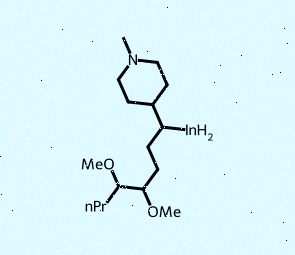 CCCC(OC)C(CC[CH]([InH2])C1CCN(C)CC1)OC